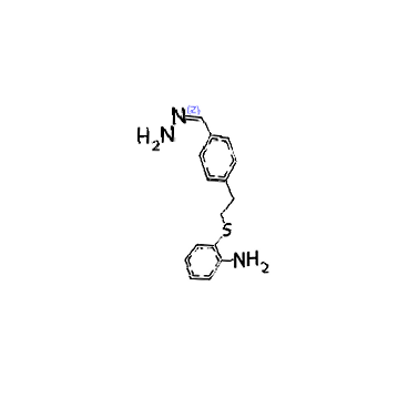 N/N=C\c1ccc(CCSc2ccccc2N)cc1